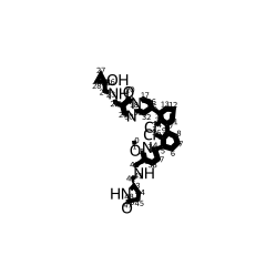 COc1nc(-c2cccc(-c3cccc(-c4ccn5c(=O)c(CNCC6(O)CC6)cnc5c4)c3Cl)c2Cl)ccc1CNC[C@H]1CCC(=O)N1